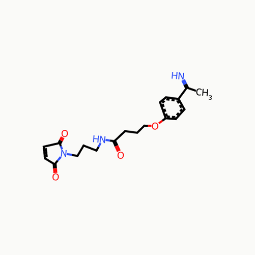 CC(=N)c1ccc(OCCCC(=O)NCCCN2C(=O)C=CC2=O)cc1